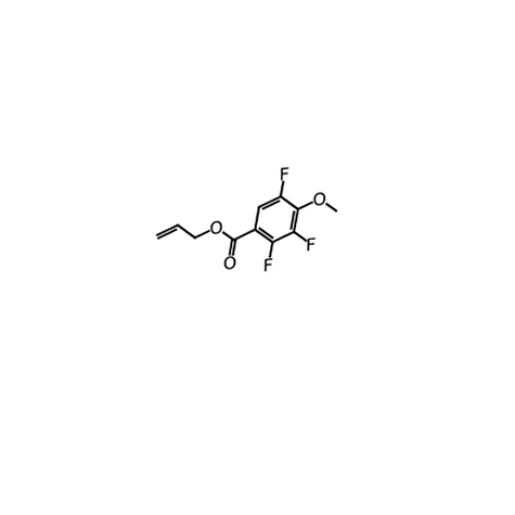 C=CCOC(=O)c1cc(F)c(OC)c(F)c1F